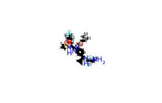 CC(C)(C)[S@@+]([O-])N[C@@H](COC(C)(C)C(F)(F)F)c1nc2cc([C@H](NCC(F)(F)CN)C3CC3)ccc2n1COCC[Si](C)(C)C